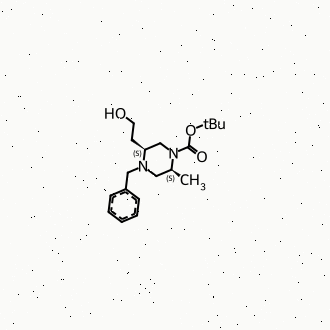 C[C@H]1CN(Cc2ccccc2)[C@@H](CCO)CN1C(=O)OC(C)(C)C